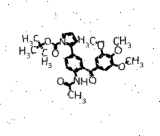 COc1cc(C(=O)c2cc(-c3cccn3C(=O)OC(C)(C)C)ccc2NC(C)=O)cc(OC)c1OC